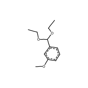 CCOC(OCC)c1cccc(OC)c1